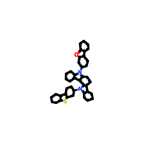 c1ccc2c(c1)oc1cc(-n3c4ccccc4c4c3ccc3c5ccccc5n(-c5ccc6c(c5)sc5ccccc56)c34)ccc12